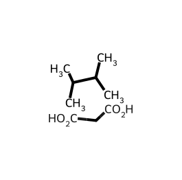 CC(C)C(C)C.O=C(O)CC(=O)O